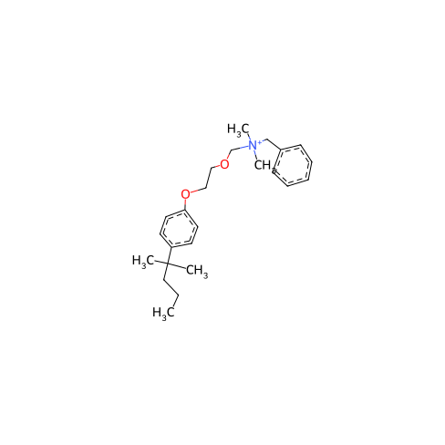 CCCC(C)(C)c1ccc(OCCOC[N+](C)(C)Cc2ccccc2)cc1